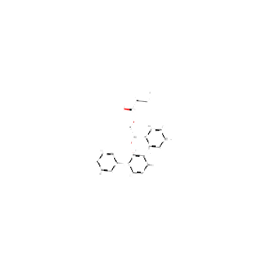 CCC(C)C(=O)OCCOc1c(-c2ccccc2)cccc1-c1ccccc1